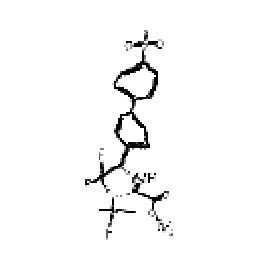 CC(C)(F)C[C@H](N[C@@H](c1ccc(-c2ccc(S(C)(=O)=O)cc2)cc1)C(F)(F)F)C(=O)ON